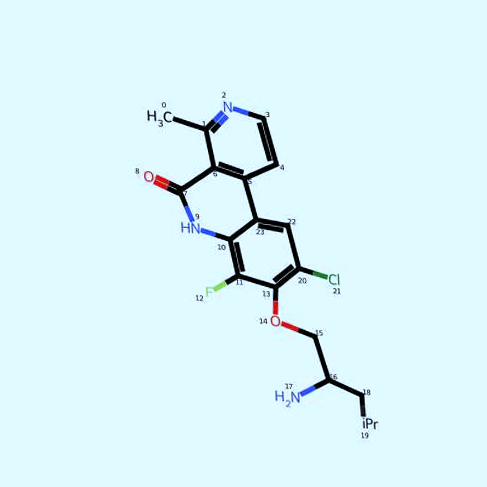 Cc1nccc2c1c(=O)[nH]c1c(F)c(OCC(N)CC(C)C)c(Cl)cc12